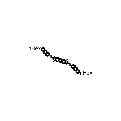 CCCCCCc1ccc2cc3cc(/C=C/c4cc5cc6cc7cc8sc(/C=C/c9ccc%10cc%11cc(CCCCCC)ccc%11cc%10c9)cc8cc7cc6cc5s4)ccc3cc2c1